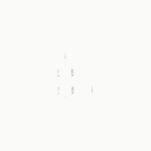 CC(=O)CC(C)=O.CC(=O)CC(C)=O.CC(C)O.CC(C)O